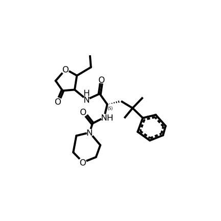 CCC1OCC(=O)C1NC(=O)[C@H](CC(C)(C)c1ccccc1)NC(=O)N1CCOCC1